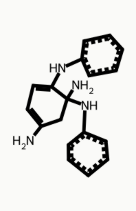 NC1=CC=C(Nc2ccccc2)C(N)(Nc2ccccc2)C1